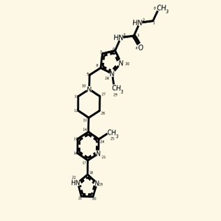 CCNC(=O)Nc1cc(CN2CCC(c3ccc(-c4ncc[nH]4)nc3C)CC2)n(C)n1